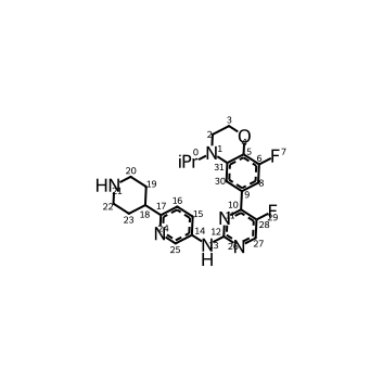 CC(C)N1CCOc2c(F)cc(-c3nc(Nc4ccc(C5CCNCC5)nc4)ncc3F)cc21